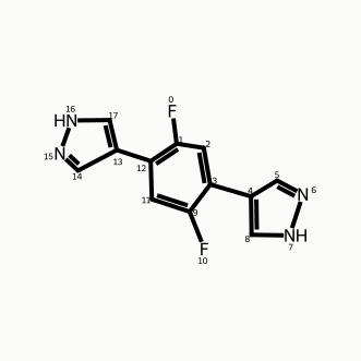 Fc1cc(-c2cn[nH]c2)c(F)cc1-c1cn[nH]c1